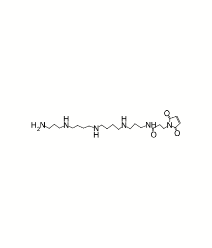 NCCCNCCCCNCCCCNCCCNC(=O)CCN1C(=O)C=CC1=O